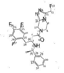 C[C@@H](N[C@@H](CC(=O)N1CCn2c(CF)nnc2C1)Cc1cc(F)c(F)cc1F)c1ccccc1